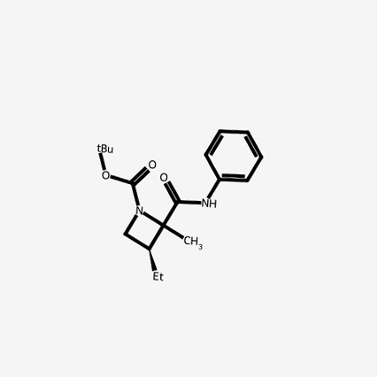 CC[C@H]1CN(C(=O)OC(C)(C)C)C1(C)C(=O)Nc1ccccc1